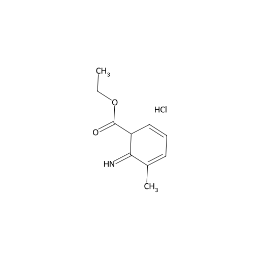 CCOC(=O)C1C=CC=C(C)C1=N.Cl